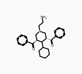 NCCN1C[C@H](C(=O)c2ccccc2)C(C2CCCCC2)[C@@H](C(=O)c2ccccc2)C1